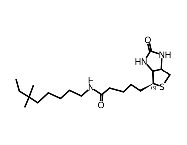 CCC(C)(C)CCCCCNC(=O)CCCC[C@@H]1SCC2NC(=O)NC21